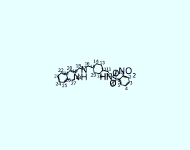 O=[N+]([O-])c1ccccc1S(=O)(=O)NCC1CCC(CNCc2cc3ccccc3cn2)CC1